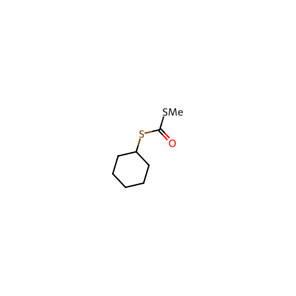 CSC(=O)SC1CCCCC1